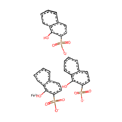 O=S(=O)([O-])c1ccc2ccccc2c1O.O=S(=O)([O-])c1ccc2ccccc2c1O.O=S(=O)([O-])c1ccc2ccccc2c1O.[Fe+3]